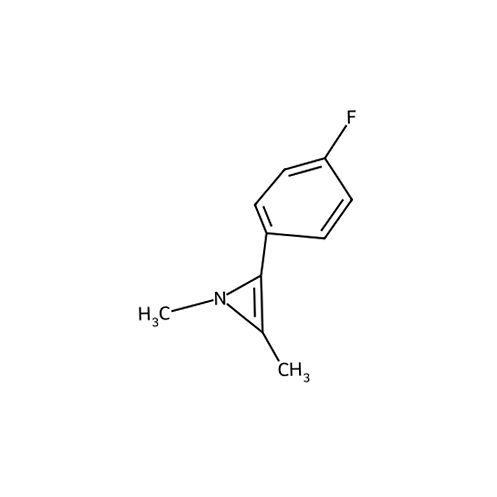 CC1=C(c2ccc(F)cc2)N1C